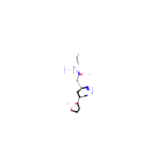 CCCNC(=O)Cc1cncc(-c2ccco2)c1